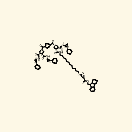 O=C(CNC(=O)OCC1c2ccccc2-c2ccccc21)OCCCCCCCCCCCCNC(=O)[C@@H]1CN(C(=O)c2ccc(C(=O)N3C[C@@H](C(=O)N[C@H]4C[C@@H]4c4ccccc4)[C@H](C(=O)N[C@H]4C[C@@H]4c4ccccc4)C3)cc2)C[C@H]1C(=O)N[C@H]1C[C@@H]1c1ccccc1